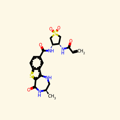 C=CC(=O)N[C@H]1CS(=O)(=O)C[C@H]1NC(=O)c1ccc2sc3c(c2c1)NC[C@@H](C)NC3=O